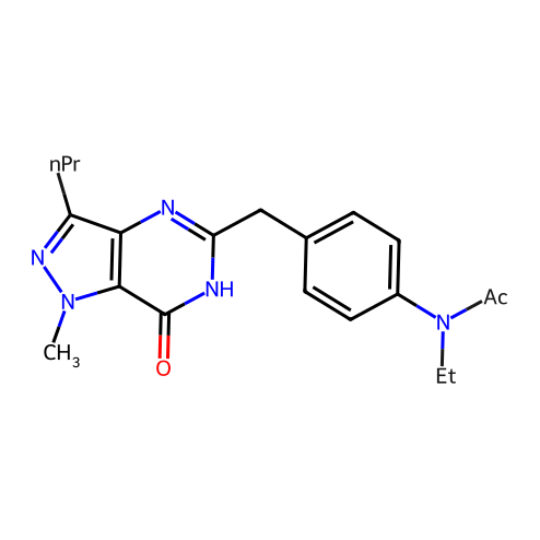 CCCc1nn(C)c2c(=O)[nH]c(Cc3ccc(N(CC)C(C)=O)cc3)nc12